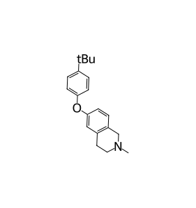 CN1CCc2cc(Oc3ccc(C(C)(C)C)cc3)ccc2C1